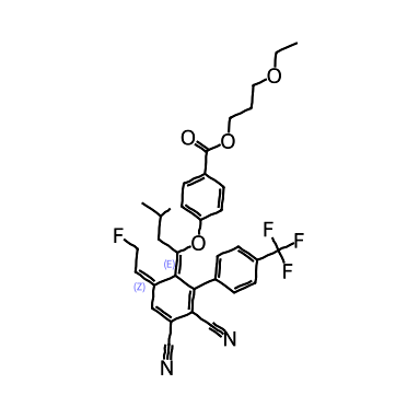 CCOCCCOC(=O)c1ccc(O/C(CC(C)C)=c2\c(-c3ccc(C(F)(F)F)cc3)c(C#N)c(C#N)c\c2=C\CF)cc1